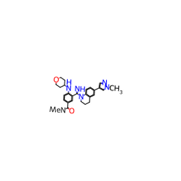 CNC(=O)c1ccc(NC2CCOCC2)c(C(=N)N2CCCc3cc(-c4cnn(C)c4)ccc32)c1